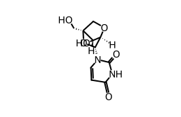 O=c1ccn([C@@H]2O[C@@]3(CO)CO[C@@H]2[C@@H]3O)c(=O)[nH]1